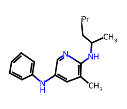 Cc1cc(Nc2ccccc2)cnc1NC(C)CC(C)C